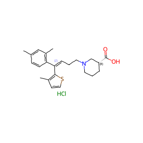 Cc1ccc(/C(=C/CCN2CCC[C@@H](C(=O)O)C2)c2sccc2C)c(C)c1.Cl